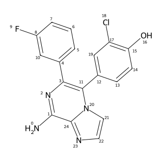 Nc1nc(-c2cccc(F)c2)c(-c2ccc(O)c(Cl)c2)n2ccnc12